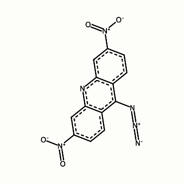 [N-]=[N+]=Nc1c2ccc([N+](=O)[O-])cc2nc2cc([N+](=O)[O-])ccc12